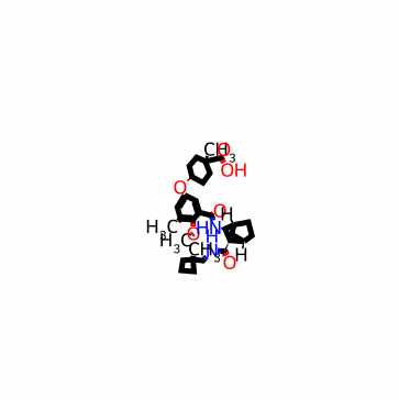 COc1c(C)cc(O[C@H]2CC[C@@](C)(C(=O)O)CC2)cc1C(=O)N[C@@H]1[C@H]2CC[C@H](C2)[C@@H]1C(=O)NCC1(C)CCC1